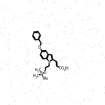 CCOC(=O)/C=C/c1cc2cc(OCc3ccccc3)ccc2n1CCO[Si](C)(C)C(C)(C)C